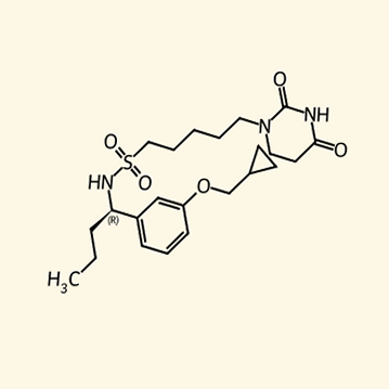 CCC[C@@H](NS(=O)(=O)CCCCCN1CCC(=O)NC1=O)c1cccc(OCC2CC2)c1